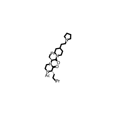 CC(=O)N1CCN([C@@H](CC(C)C)C(=O)N2CCC(CCN3CCCC3)CC2)C(=O)[C@@H]1CCC(C)C